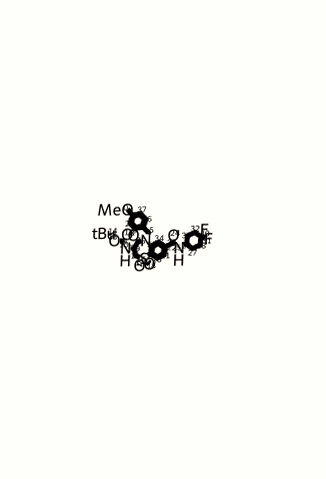 COc1ccc(CN2C(=O)[C@@H](NC(=O)OC(C)(C)C)CS(=O)(=O)c3ccc(C(=O)NC4CCC(F)(F)CC4)cc32)cc1